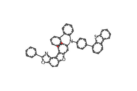 c1ccc(-c2nc3c(ccc4oc5cc(N(c6ccc(-c7cccc8c7sc7ccccc78)cc6)c6ccccc6-c6ccccc6)ccc5c43)o2)cc1